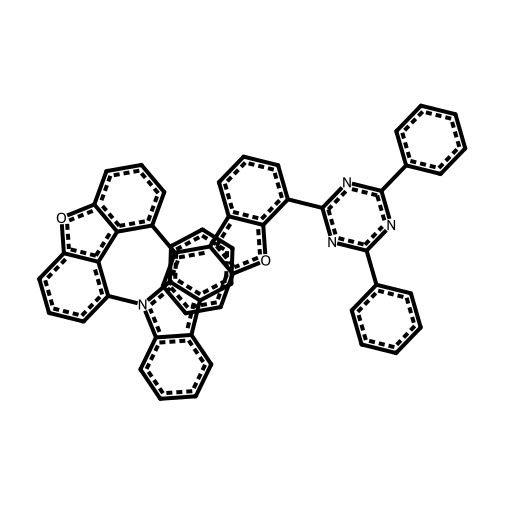 c1ccc(-c2nc(-c3ccccc3)nc(-c3cccc4c3oc3cccc(-c5cccc6oc7cccc(-n8c9ccccc9c9ccccc98)c7c56)c34)n2)cc1